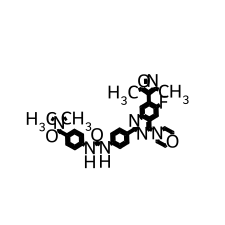 Cc1noc(C)c1-c1cc2nc(-c3ccc(NC(=O)Nc4ccc(C(=O)N(C)C)cc4)cc3)nc(N3CCOCC3)c2cc1F